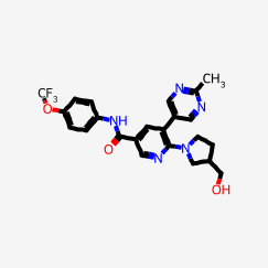 Cc1ncc(-c2cc(C(=O)Nc3ccc(OC(F)(F)F)cc3)cnc2N2CCC(CO)C2)cn1